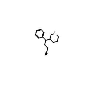 C#CCCC(c1ccccc1)C1CCC[N+](C)([O-])C1.I